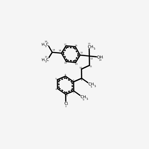 Cc1c(Cl)cccc1C(C)CCC(C)(O)c1ccc(C(C)C)cc1